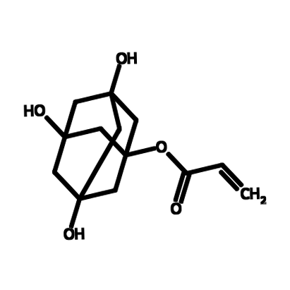 C=CC(=O)OC12CC3(O)CC(O)(CC(O)(C3)C1)C2